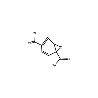 O=C(O)C1=CC2OC2(C(=O)O)C=C1